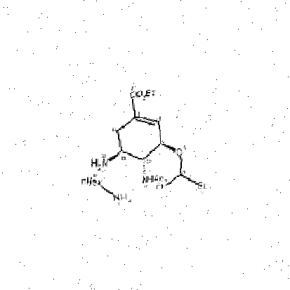 CCCCCCN.CCOC(=O)C1=C[C@@H](OC(CC)CC)[C@H](NC(C)=O)[C@@H](N)C1